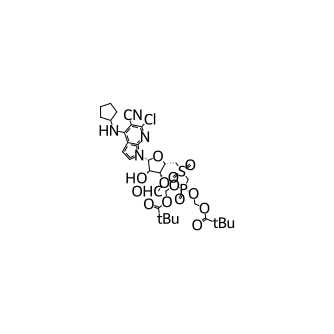 CC(C)(C)C(=O)OCOP(=O)(CS(=O)(=O)C[C@H]1O[C@@H](n2ccc3c(NC4CCCC4)c(C#N)c(Cl)nc32)[C@H](O)[C@@H]1OC=O)OCOC(=O)C(C)(C)C